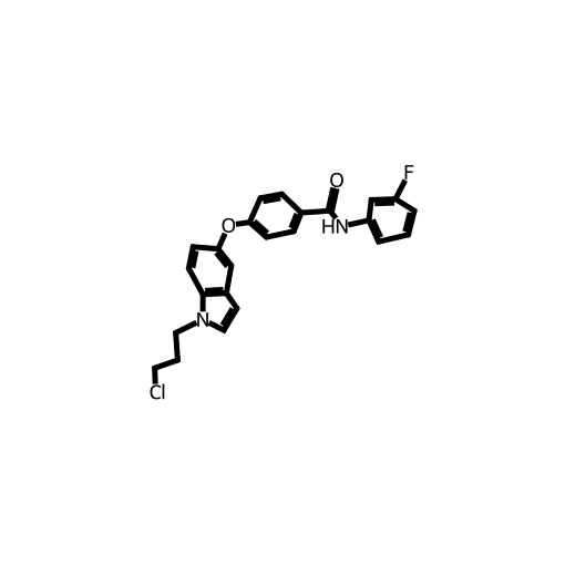 O=C(Nc1cccc(F)c1)c1ccc(Oc2ccc3c(ccn3CCCCl)c2)cc1